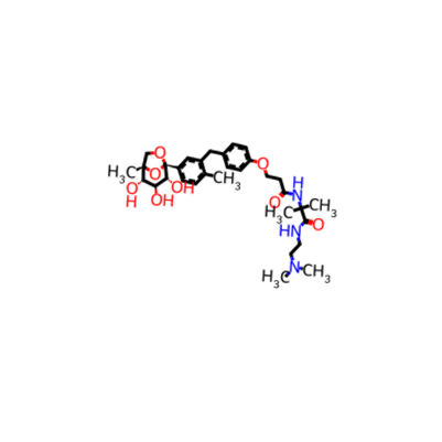 Cc1ccc([C@]23OC[C@](C)(O2)[C@@H](O)[C@H](O)[C@H]3O)cc1Cc1ccc(OCCC(=O)NC(C)(C)C(=O)NCCN(C)C)cc1